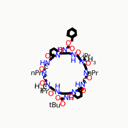 CCCN1CC(=O)N(C)[C@@H](C(C)C)C(=O)NC[C@@H](NC(=O)OC(C)(C)C)C(=O)N2CCCC[C@H]2C(=O)NCC(=O)N(CCC)CC(=O)N(C)[C@@H](C(C)C)C(=O)NC[C@@H](NC(=O)OCc2ccccc2)C(=O)N2CCCC[C@H]2C(=O)NCC1=O